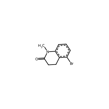 CN1C(=O)CCc2c(Br)cccc21